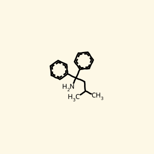 CC(C)CC(N)(c1ccccc1)c1ccccc1